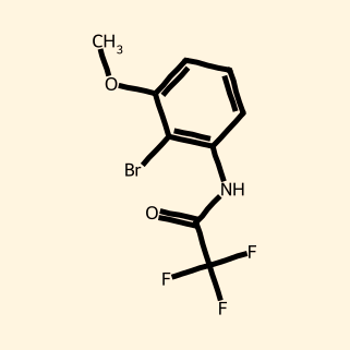 COc1cccc(NC(=O)C(F)(F)F)c1Br